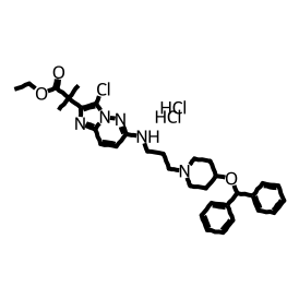 CCOC(=O)C(C)(C)c1nc2ccc(NCCCN3CCC(OC(c4ccccc4)c4ccccc4)CC3)nn2c1Cl.Cl.Cl